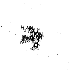 COc1ccc(CNc2ncnc3c(C)c(-c4cnc(N)nc4)n(-c4ccc(Oc5nccc(C)n5)c(F)c4)c23)cc1